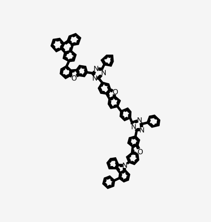 c1ccc(-c2nc(-c3ccc(-c4ccc5c(c4)oc4cc(-c6nc(-c7ccccc7)nc(-c7ccc8c(c7)oc7cccc(-c9ccc%10c%11ccccc%11c%11ccccc%11c%10c9)c78)n6)ccc45)cc3)nc(-c3ccc4c(c3)oc3ccc(-n5c6ccccc6c6c(-c7ccccc7)cccc65)cc34)n2)cc1